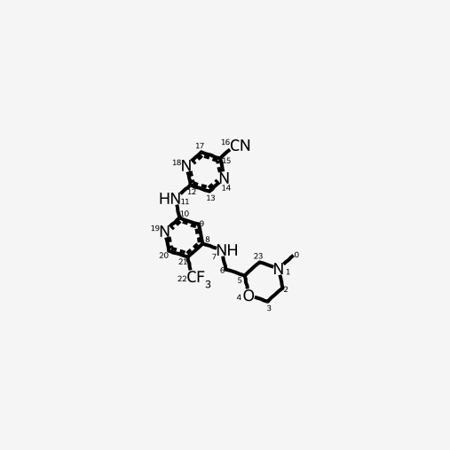 CN1CCOC(CNc2cc(Nc3cnc(C#N)cn3)ncc2C(F)(F)F)C1